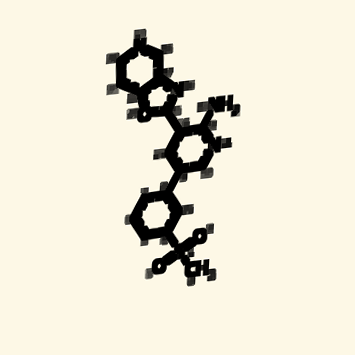 CS(=O)(=O)c1cccc(-c2cnc(N)c(-c3nc4cnccc4o3)c2)c1